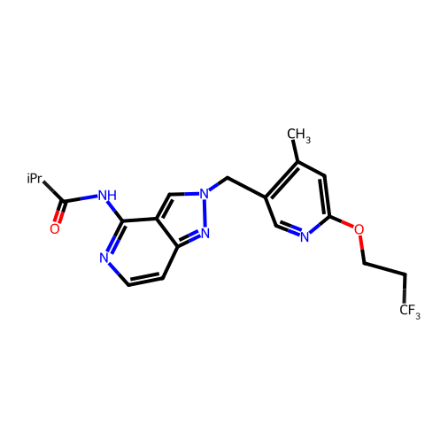 Cc1cc(OCCC(F)(F)F)ncc1Cn1cc2c(NC(=O)C(C)C)nccc2n1